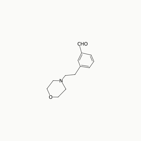 O=Cc1cccc(CCN2CCOCC2)c1